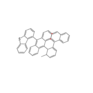 CC1C=CC=C(c2cccc3ccccc23)C1c1c2ccccc2c(-c2cccc3sc4ccccc4c23)c2ccccc12